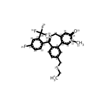 CCSCc1ccc2c(c1)-c1cn(C)c(=O)cc1CN=C2c1ccc(F)cc1C(F)(F)F